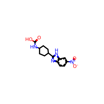 O=C(O)NC1CCC(c2nc3ccc([N+](=O)[O-])cc3[nH]2)CC1